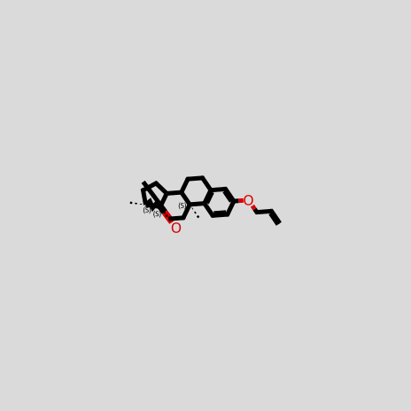 C=CCOc1ccc2c(c1)CCC1C3CC[C@@]4(C)CCC(=O)[C@@]34CC[C@]21C